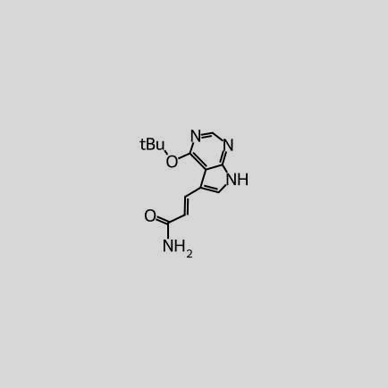 CC(C)(C)Oc1ncnc2[nH]cc(/C=C/C(N)=O)c12